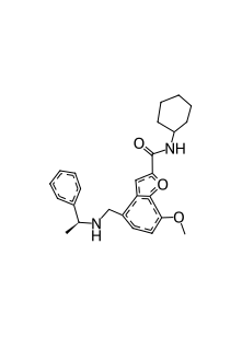 COc1ccc(CN[C@@H](C)c2ccccc2)c2cc(C(=O)NC3CCCCC3)oc12